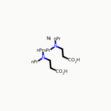 CCCN(CCC)CCC(=O)O.CCCN(CCC)CCC(=O)O.[Ni]